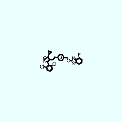 Fc1cccc2sc(OCC34CCC(C=Cc5c(-c6c(Cl)cccc6Cl)noc5C5CC5)(CC3)CC4)nc12